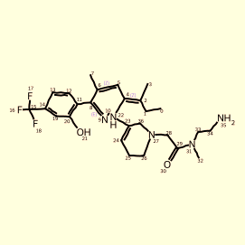 CC/C(C)=C(/C=C(C)\C(=N/C)c1ccc(C(F)(F)F)cc1O)NC1=CCCN(CC(=O)N(C)CCN)C1